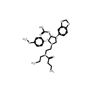 CCCC(=O)N(CCC)CCN1C[C@H](c2ccc3c(c2)OCO3)[C@H](OC(=O)O)[C@H]1c1ccc(OC)cc1